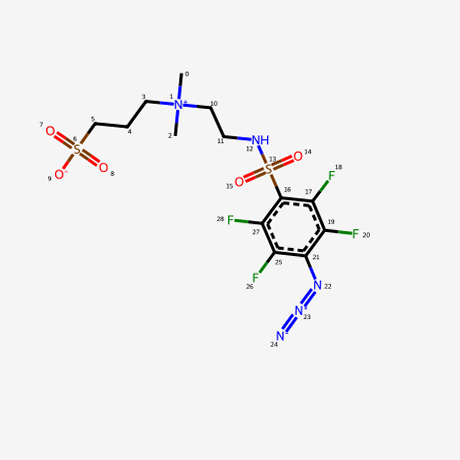 C[N+](C)(CCCS(=O)(=O)[O-])CCNS(=O)(=O)c1c(F)c(F)c(N=[N+]=[N-])c(F)c1F